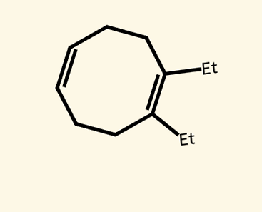 CC/C1=C(\CC)CC/C=C\CC1